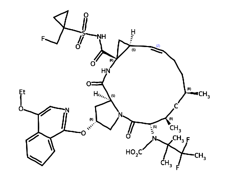 CCOc1cnc(O[C@@H]2C[C@H]3C(=O)N[C@]4(C(=O)NS(=O)(=O)C5(CF)CC5)C[C@H]4/C=C\CC[C@@H](C)C[C@@H](C)[C@H](N(C(=O)O)C(C)(C)C(C)(F)F)C(=O)N3C2)c2ccccc12